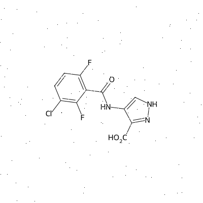 O=C(O)c1n[nH]cc1NC(=O)c1c(F)ccc(Cl)c1F